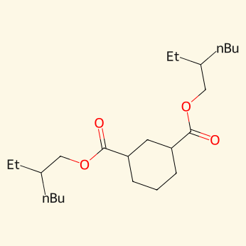 CCCCC(CC)COC(=O)C1CCCC(C(=O)OCC(CC)CCCC)C1